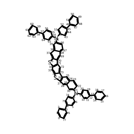 c1ccc(-c2ccc(N(c3ccc(-c4ccccc4)cc3)c3ccc4cc5c(cc4c3)sc3cc4sc6cc7cc(N(c8ccc(-c9ccccc9)cc8)c8ccc(-c9ccccc9)cc8)ccc7cc6c4cc35)cc2)cc1